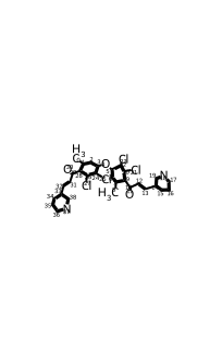 Cc1cc(Oc2cc(C)c(C(=O)C=Cc3cccnc3)c(Cl)c2Cl)c(Cl)c(Cl)c1C(=O)C=Cc1cccnc1